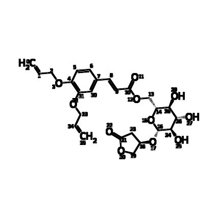 C=CCOc1ccc(/C=C/C(=O)OC[C@H]2O[C@@H](O[C@H]3COC(=O)C3)[C@H](O)[C@@H](O)[C@@H]2O)cc1OCC=C